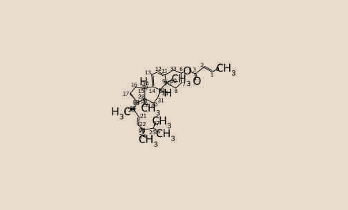 CC=CC(=O)OC1CC[C@@]2(C)C(=CC=C3[C@@H]4CC[C@H]([C@H](C)C=C[C@H](C)C(C)C)[C@@]4(C)CC[C@@H]32)C1